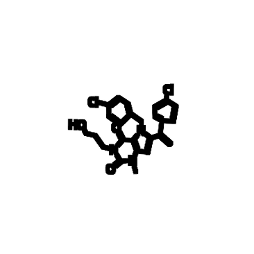 C=C(c1ccc(Cl)cc1)c1cc2c(c(=O)n(CCCO)c(=O)n2C)n1Cc1ccc(Cl)cc1